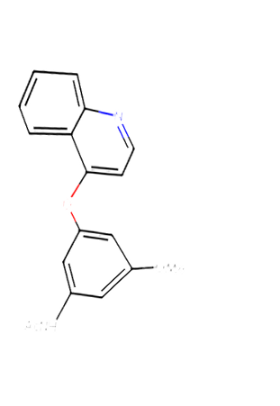 COc1cc(NC(C)=O)cc(Oc2ccnc3ccccc23)c1